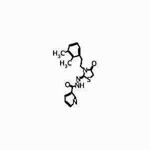 Cc1cccc(CCN2C(=O)CSC2=NNC(=O)c2cccnc2)c1C